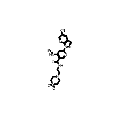 CC(C)Nc1cc(-n2ncc3cc(C#N)cnc32)ncc1C(=O)NCCN1CCS(=O)(=O)CC1